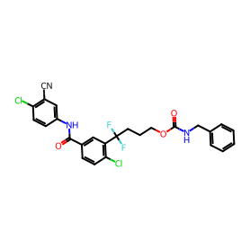 N#Cc1cc(NC(=O)c2ccc(Cl)c(C(F)(F)CCCOC(=O)NCc3ccccc3)c2)ccc1Cl